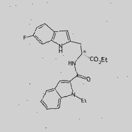 CCOC(=O)[C@@H](Cc1cc2ccc(F)cc2[nH]1)NC(=O)c1cc2ccccc2n1CC